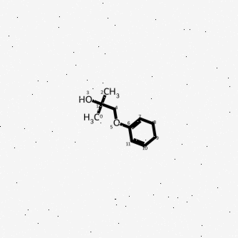 CC(C)(O)COC1=C[CH]CC=C1